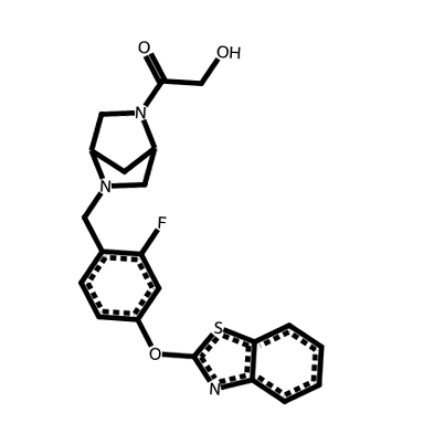 O=C(CO)N1CC2CC1CN2Cc1ccc(Oc2nc3ccccc3s2)cc1F